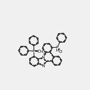 C=P(c1ccccc1)(c1ccccc1)c1cccc2nc3c4ccccc4c4c([PH](=O)c5ccccc5)cccc4n3c12